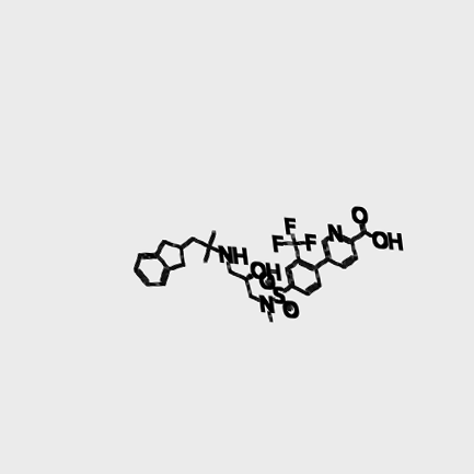 CN(C[C@H](O)CNC(C)(C)CC1Cc2ccccc2C1)S(=O)(=O)c1ccc(-c2ccc(C(=O)O)nc2)c(C(F)(F)F)c1